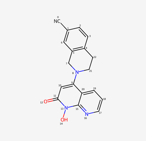 N#Cc1ccc2c(c1)CN(c1cc(=O)n(O)c3ncccc13)CC2